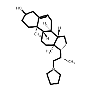 C[C@H](CN1CCCC1)[C@H]1CC[C@H]2[C@@H]3CC=C4CC(O)CC[C@]4(C)[C@H]3CC[C@]12C